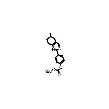 CCCCOC(=O)Oc1ccc(-c2ncc3c(n2)CCC(C)C3)cc1